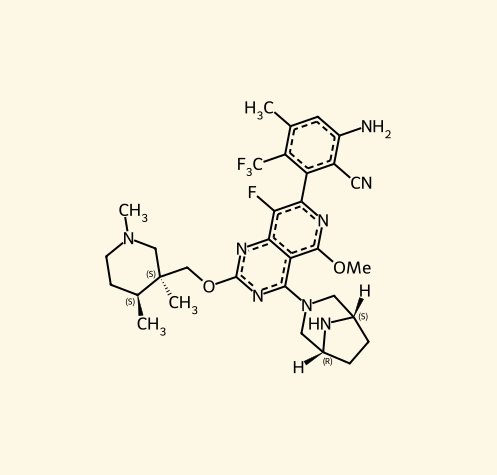 COc1nc(-c2c(C#N)c(N)cc(C)c2C(F)(F)F)c(F)c2nc(OC[C@]3(C)CN(C)CC[C@@H]3C)nc(N3C[C@H]4CC[C@@H](C3)N4)c12